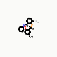 CCC(C)(Pc1c(C)cccc1/C=N/c1ccccc1)c1cc(C)ccc1O